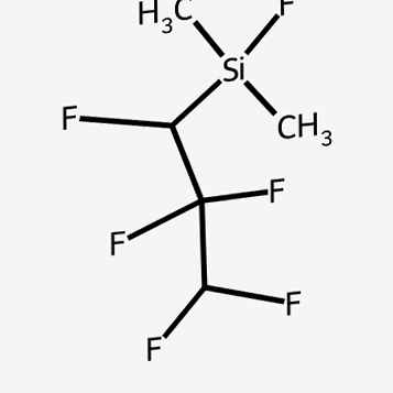 C[Si](C)(F)C(F)C(F)(F)C(F)F